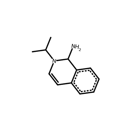 CC(C)N1C=Cc2ccccc2C1N